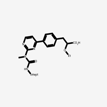 CCCCCCCNC(=O)N(C)c1nccc(-c2ccc(CC(OCC)C(=O)O)cc2)n1